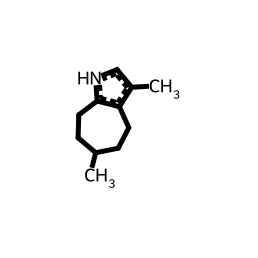 Cc1c[nH]c2c1CCC(C)CC2